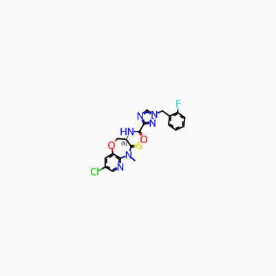 CN1C(=S)[C@@H](NC(=O)c2ncn(Cc3ccccc3F)n2)COc2cc(Cl)cnc21